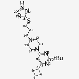 CC(C)(C)c1nc(C2CCC2)cc(N2CCN(CCCSc3nc[nH]n3)CC2)n1